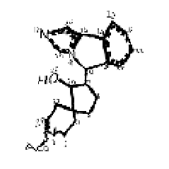 CC(=O)N1CCC2(CCC(C3c4ccccc4-c4cncn43)C2O)CC1